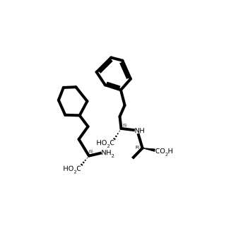 C[C@@H](N[C@@H](CCc1ccccc1)C(=O)O)C(=O)O.N[C@@H](CCC1CCCCC1)C(=O)O